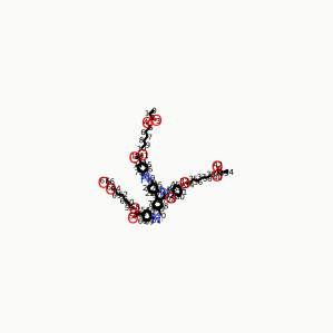 C=CC(=O)OCCCCCCOC(=O)c1ccc(/N=C/c2ccc3c(c2)nc(Oc2ccc(OCCCCCCOC(=O)C=C)cc2)c2cc(/C=N\c4ccc(C(=O)OCCCCCCOC=O)cc4)ccc23)cc1